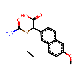 CC.COc1ccc2cc(C(SC(N)=O)C(=O)O)ccc2c1